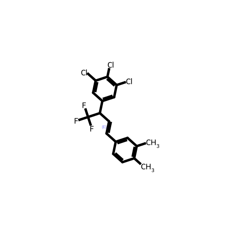 Cc1ccc(/C=C/C(c2cc(Cl)c(Cl)c(Cl)c2)C(F)(F)F)cc1C